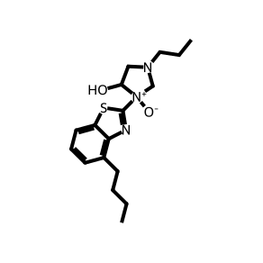 CCCCc1cccc2sc([N+]3([O-])CN(CCC)CC3O)nc12